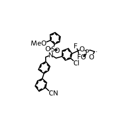 COc1ccccc1S(=O)(=O)N(Cc1ccc(-c2cccc(C#N)c2)cc1)Cc1ccc(C(F)(F)OP2(=O)C[CH]O2)c(Cl)c1